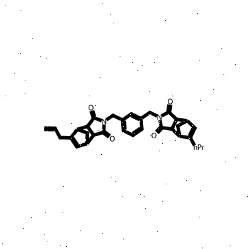 C=CCC1=CC2CC1C1C(=O)N(Cc3cccc(CN4C(=O)C5C6C=C(CCC)C(C6)C5C4=O)c3)C(=O)C21